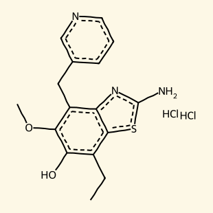 CCc1c(O)c(OC)c(Cc2cccnc2)c2nc(N)sc12.Cl.Cl